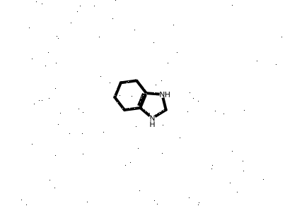 C1CCC2=C(C1)NCN2